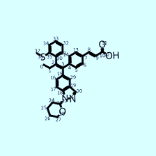 CC/C(=C(/c1ccc(/C=C/C(=O)O)cc1)c1ccc2c(cnn2C2CCCCO2)c1)c1ccccc1SC